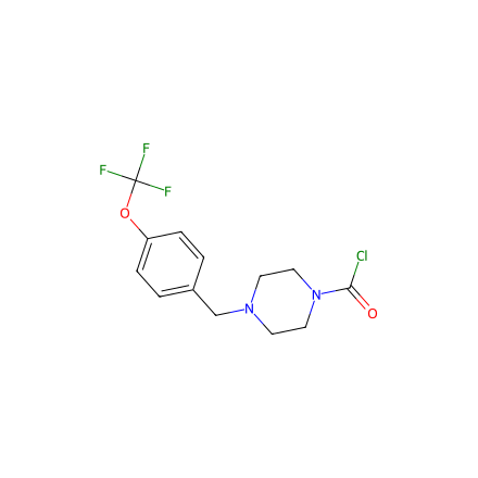 O=C(Cl)N1CCN(Cc2ccc(OC(F)(F)F)cc2)CC1